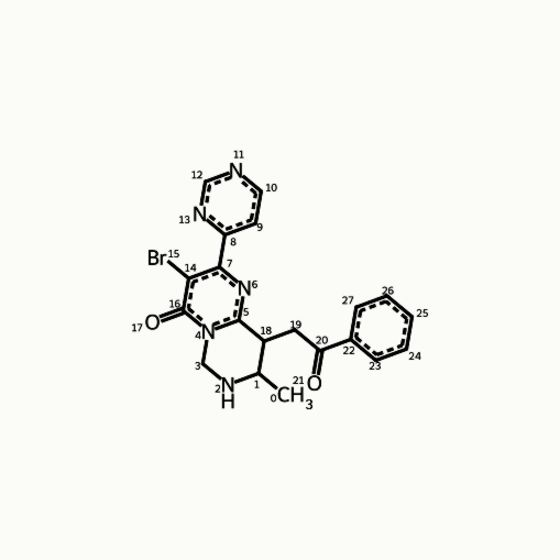 CC1NCn2c(nc(-c3ccncn3)c(Br)c2=O)C1CC(=O)c1ccccc1